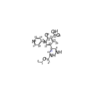 CCOC(C)N/C=C(\C=N)c1cn(-c2ccncc2)c(=O)c(C(=O)O)c1C